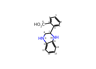 O=C(O)c1ccccc1C1CNc2ccccc2N1